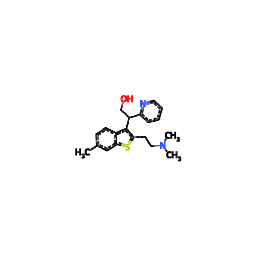 Cc1ccc2c(C(CO)c3ccccn3)c(CCN(C)C)sc2c1